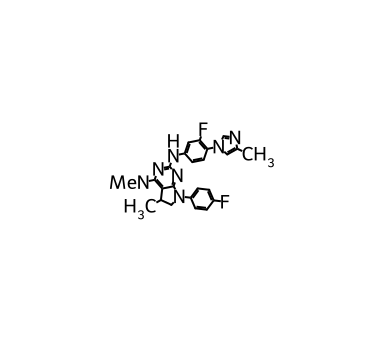 CNc1nc(Nc2ccc(-n3cnc(C)c3)c(F)c2)nc2c1C(C)CN2c1ccc(F)cc1